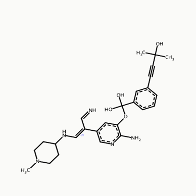 CN1CCC(N/C=C(\C=N)c2cnc(N)c(OC(O)(O)c3cccc(C#CC(C)(C)O)c3)c2)CC1